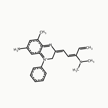 C=C/C(=C\C=C1/C[N+](c2ccccc2)=c2cc(N)cc(C)c2=N1)N(C)C